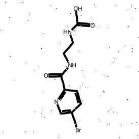 O=C(O)NCCNC(=O)c1ccc(Br)cn1